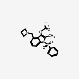 Cc1c(OC(=O)C(F)(F)F)c2c(CN3CCC3)cccc2n1S(=O)(=O)c1ccccc1